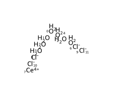 O.O.O.O.O.O.O.[Ce+4].[Cl-].[Cl-].[Cl-].[Cl-]